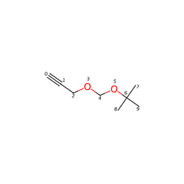 C#CCOCOC(C)(C)C